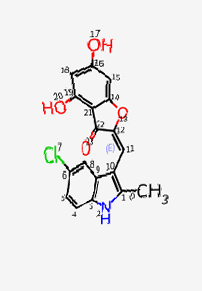 Cc1[nH]c2ccc(Cl)cc2c1/C=C1/Oc2cc(O)cc(O)c2C1=O